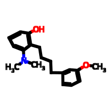 COc1cccc(CCCCc2c(O)cccc2N(C)C)c1